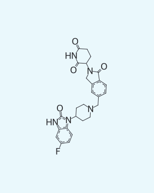 O=C1CCC(N2Cc3cc(CN4CCC(n5c(=O)[nH]c6cc(F)ccc65)CC4)ccc3C2=O)C(=O)N1